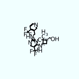 CC1(C)[C@@H](CO)C[C@H]1Nc1nc(NCc2cnccc2C(F)(F)F)ncc1C(F)(F)F